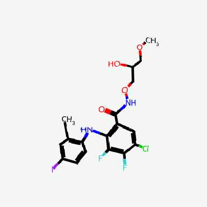 COCC(O)CONC(=O)c1cc(Cl)c(F)c(F)c1Nc1ccc(I)cc1C